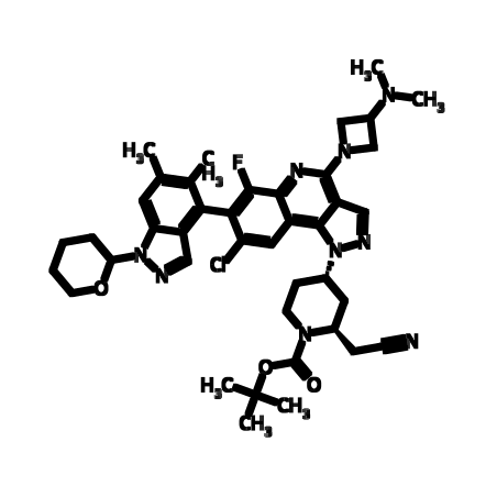 Cc1cc2c(cnn2C2CCCCO2)c(-c2c(Cl)cc3c(nc(N4CC(N(C)C)C4)c4cnn([C@H]5CCN(C(=O)OC(C)(C)C)[C@H](CC#N)C5)c43)c2F)c1C